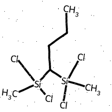 CCCC([Si](C)(Cl)Cl)[Si](C)(Cl)Cl